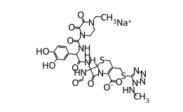 CCN1CCN(C(=O)NC(C(=O)N[C@]2(NC=O)C(=O)N3C(C(=O)[O-])=C(CSc4nnnn4NC)CS[C@H]32)c2ccc(O)c(O)c2)C(=O)C1=O.[Na+]